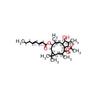 CCC/C=C/C=C/C(=O)OC1CC2C(/C=C(\C)C(=O)C3(OC(C)=O)C[C@H](C)C(O)C3/C=C\1C)C2(C)C